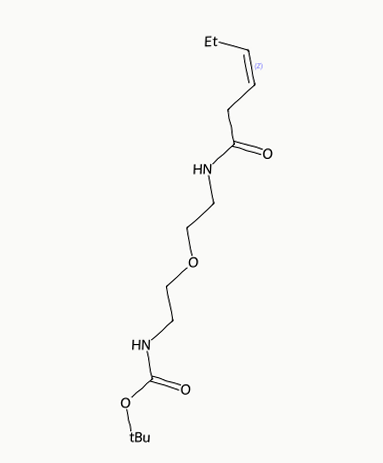 CC/C=C\CC(=O)NCCOCCNC(=O)OC(C)(C)C